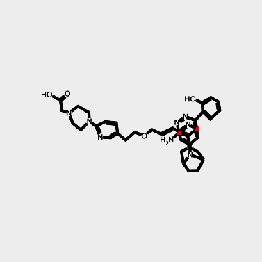 Nc1nnc(-c2ccccc2O)cc1N1CC2CCC(C1)N2c1ccnc(/C=C/COCCc2ccc(N3CCN(CC(=O)O)CC3)nc2)c1